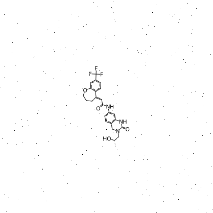 C[C@H](O)CN1Cc2ccc(NC(=O)/C=C3\CCCOc4cc(C(F)(F)F)ccc43)cc2NC1=O